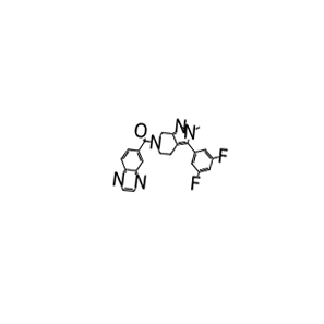 Cn1nc2c(c1-c1cc(F)cc(F)c1)CCN(C(=O)c1ccc3nccnc3c1)C2